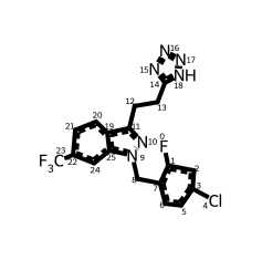 Fc1cc(Cl)ccc1Cn1nc(CCc2nnn[nH]2)c2ccc(C(F)(F)F)cc21